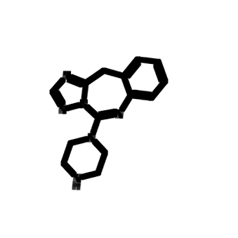 c1ccc2c(c1)Cc1ncnn1C(N1CCNCC1)=N2